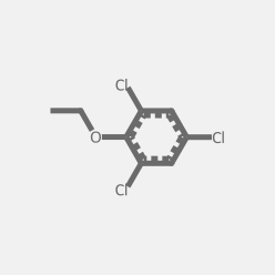 CCOc1c(Cl)cc(Cl)cc1Cl